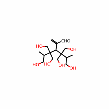 C=C([C]=O)C(C(CO)(CO)C(C)CO)C(CO)(CO)C(C)CO